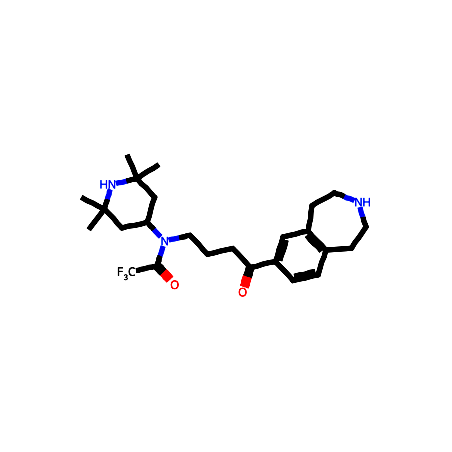 CC1(C)CC(N(CCCC(=O)c2ccc3c(c2)CCNCC3)C(=O)C(F)(F)F)CC(C)(C)N1